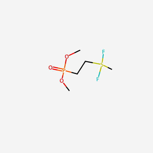 COP(=O)(CCS(C)(F)F)OC